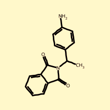 CC(c1ccc(N)cc1)N1C(=O)c2ccccc2C1=O